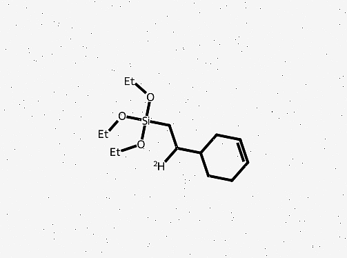 [2H]C(C[Si](OCC)(OCC)OCC)C1CC=CCC1